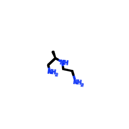 C[C@H](CN)NCCN